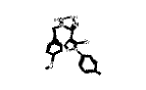 COc1ccc(CN2NNN=C2c2cnn(-c3ccc(C)cc3)c2Br)cc1